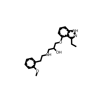 CCc1n[nH]c2cccc(OCC(O)CNCCc3ccccc3OC)c12